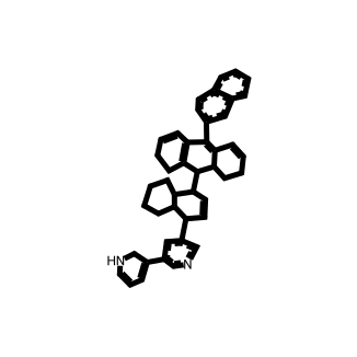 C1=CNCC(c2cncc(C3C=CC(C4C5=C(C=CCC5)C(c5ccc6ccccc6c5)=C5C=CCCC54)C4CCCCC34)c2)=C1